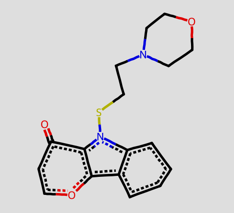 O=c1ccoc2c3ccccc3n(SCCN3CCOCC3)c12